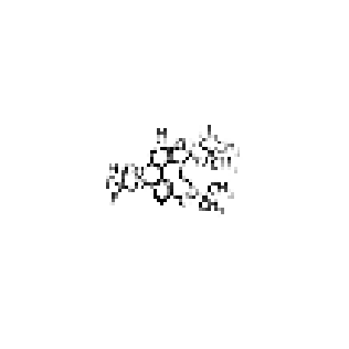 COc1c[nH]c(=O)c(C(CCOC(C)C)C(=O)OC(C)(C)C)c1-c1cc(Cl)ccc1OCC(F)(F)F